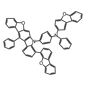 c1ccc(-c2c3c(cc4c2c2cccc(-c5cccc6c5oc5ccccc56)c2n4-c2ccc(N(c4ccccc4)c4ccc5oc6ccccc6c5c4)cc2)oc2ccccc23)cc1